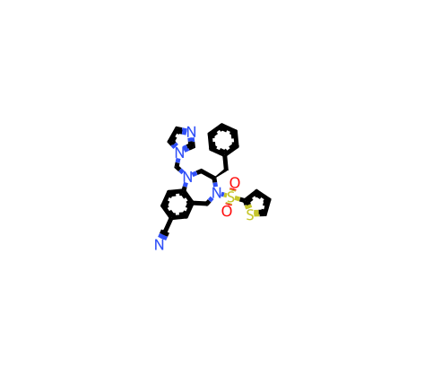 N#Cc1ccc2c(c1)CN(S(=O)(=O)c1cccs1)[C@H](Cc1ccccc1)CN2Cn1ccnc1